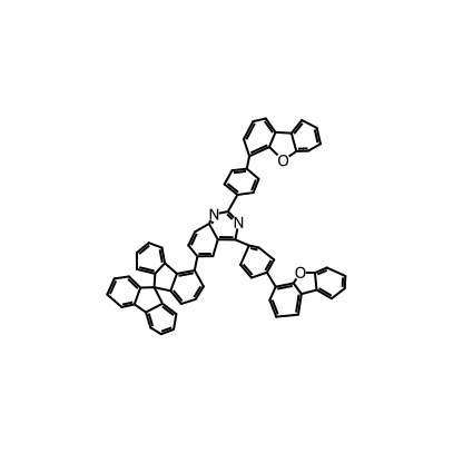 c1ccc2c(c1)-c1ccccc1C21c2ccccc2-c2c(-c3ccc4nc(-c5ccc(-c6cccc7c6oc6ccccc67)cc5)nc(-c5ccc(-c6cccc7c6oc6ccccc67)cc5)c4c3)cccc21